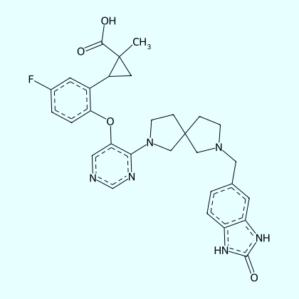 CC1(C(=O)O)CC1c1cc(F)ccc1Oc1cncnc1N1CCC2(CCN(Cc3ccc4[nH]c(=O)[nH]c4c3)C2)C1